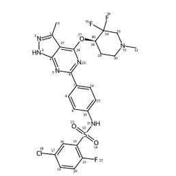 Cc1n[nH]c2nc(-c3ccc(NS(=O)(=O)c4cc(Cl)ccc4F)cc3)nc(O[C@@H]3CCN(C)CC3(F)F)c12